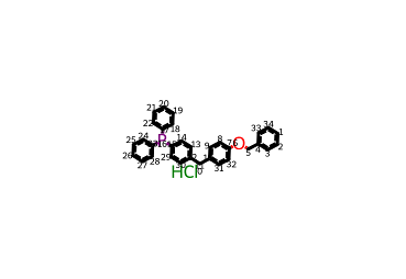 Cl.c1ccc(COc2ccc(Cc3ccc(P(c4ccccc4)c4ccccc4)cc3)cc2)cc1